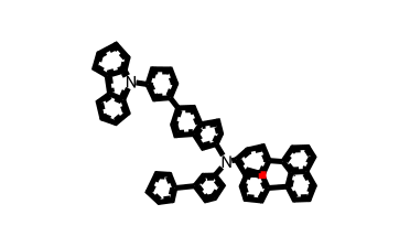 c1ccc(-c2cccc(N(c3ccc(-c4cccc5cccc(-c6ccccc6)c45)cc3)c3ccc4cc(-c5cccc(-n6c7ccccc7c7ccccc76)c5)ccc4c3)c2)cc1